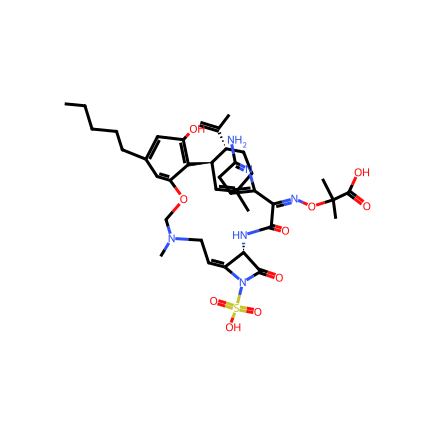 C=C(C)[C@@H]1CCC(C)=C[C@H]1c1c(O)cc(CCCCC)cc1OCN(C)C/C=C1\[C@H](NC(=O)/C(=N\OC(C)(C)C(=O)O)C2=CCC(N)=N2)C(=O)N1S(=O)(=O)O